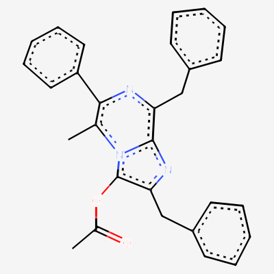 CC(=O)Oc1c(Cc2ccccc2)nc2c(Cc3ccccc3)nc(-c3ccccc3)c(C)n12